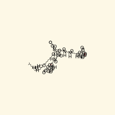 CC(=O)NC1C(OCCCCC(=O)NCCCNC(=O)CCOCC2CN(CC(=O)OCc3ccccc3)CC(COCCCCCCCCCCO[C@@H]3C=C4CC[C@H]5[C@@H]6CC[C@H]([C@H](C)CCCC(C)C)[C@H]6CC[C@@H]5[C@@]4(C)CC3)C2OCCC(=O)NCCCNC(=O)CCCCOC2OC(COC(C)=O)C(OC(C)=O)C(OC(C)=O)C2NC(C)=O)OC(COC(C)=O)C(OC(C)=O)C1OC(C)=O